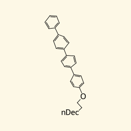 CCCCCCCCCCCCOc1ccc(-c2ccc(-c3ccc(-c4ccccc4)cc3)cc2)cc1